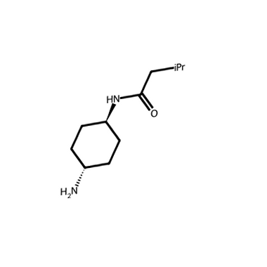 CC(C)CC(=O)N[C@H]1CC[C@H](N)CC1